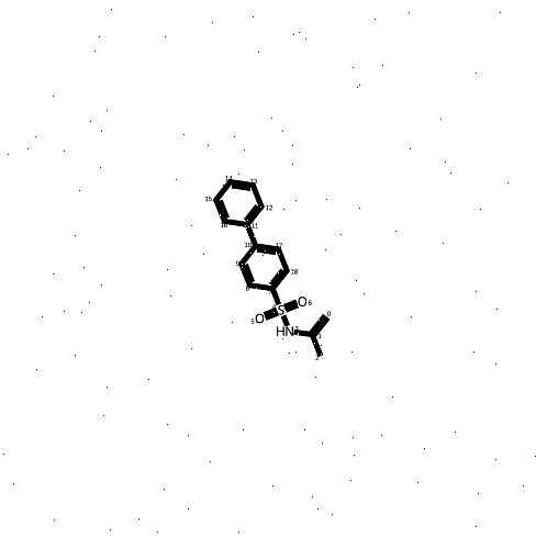 C=C(C)NS(=O)(=O)c1ccc(-c2ccccc2)cc1